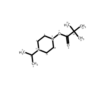 CC(C)N1CCN(OC(=O)C(C)(C)C)CC1